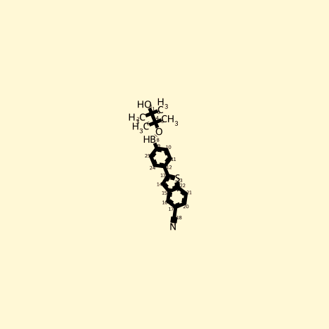 CC(C)(O)C(C)(C)OBc1ccc(-c2cc3cc(C#N)ccc3s2)cc1